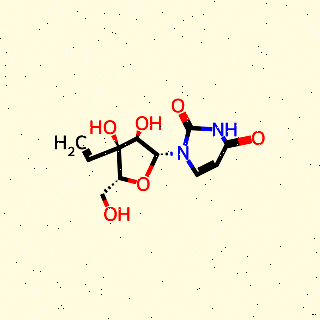 C=C[C@@]1(O)[C@@H](CO)O[C@@H](n2ccc(=O)[nH]c2=O)[C@@H]1O